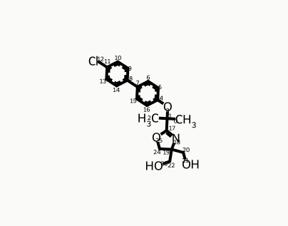 CC(C)(Oc1ccc(-c2ccc(Cl)cc2)cc1)C1=NC(CO)(CO)CO1